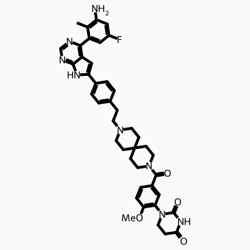 COc1ccc(C(=O)N2CCC3(CCN(CCc4ccc(-c5cc6c(-c7cc(F)cc(N)c7C)ncnc6[nH]5)cc4)CC3)CC2)cc1N1CCC(=O)NC1=O